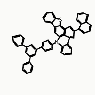 c1ccc(-c2cc(-c3ccccc3)cc(-c3ccc(N(c4ccc5sc6ccccc6c5c4)c4ccccc4-c4cccc(-c5cccc6ccccc56)c4)cc3)c2)cc1